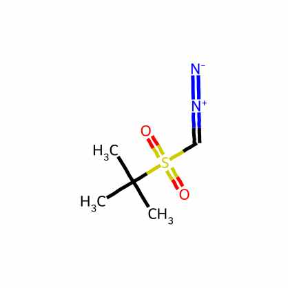 CC(C)(C)S(=O)(=O)C=[N+]=[N-]